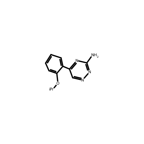 CC(C)Oc1ccccc1-c1cnnc(N)n1